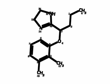 CCCC(Oc1cccc(C)c1C)C1=NCCN1